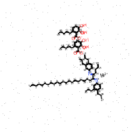 CCCCCCCCCCCCCCCCCCCCCC(=Nc1ccc(CCC)c(CCC)c1)C(CCCC)=Nc1ccc(CCC)c(CCC)c1.CCCCCc1ccc(O)c(O)c1C(=O)[O-].CCCCCc1ccc(O)c(O)c1C(=O)[O-].[Ni+2]